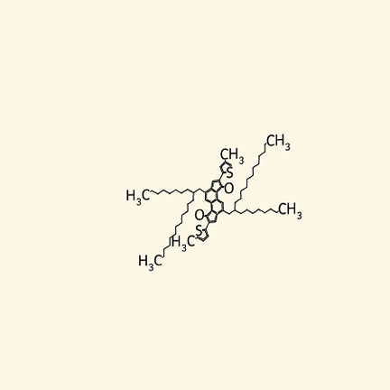 CCCCCCCCCCCCC(CCCCCCCC)Cc1cc2c(cc(CC(CCCCCCCC)CCCCCCCCCCCC)c3cc(-c4ccc(C)s4)c(=O)c32)c2c(=O)c(-c3cc(C)cs3)cc12